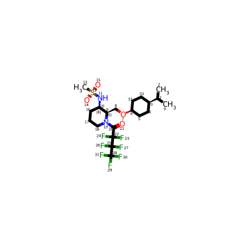 CC(C)[C@H]1CC[C@@H](OC[C@@H]2[C@H](NS(C)(=O)=O)CCCN2C(=O)C(F)(F)C(F)(F)C(F)(F)F)CC1